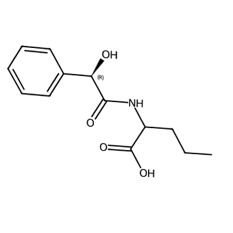 CCCC(NC(=O)[C@H](O)c1ccccc1)C(=O)O